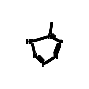 C[N+]1P=NP=NP1